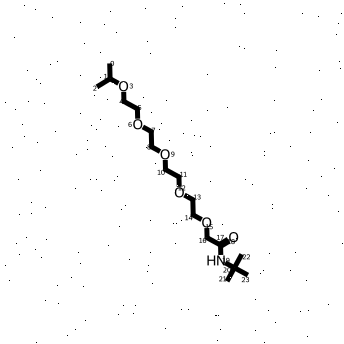 CC(C)OCCOCCOCCOCCOCC(=O)NC(C)(C)C